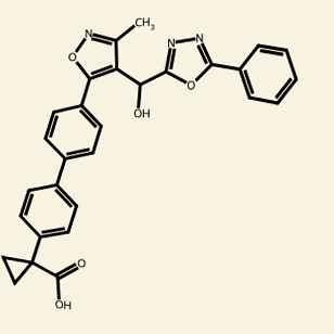 Cc1noc(-c2ccc(-c3ccc(C4(C(=O)O)CC4)cc3)cc2)c1C(O)c1nnc(-c2ccccc2)o1